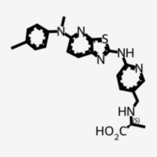 Cc1ccc(N(C)c2ccc3nc(Nc4ccc(CN[C@@H](C)C(=O)O)cn4)sc3n2)cc1